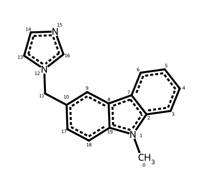 Cn1c2ccccc2c2cc(Cn3ccnc3)ccc21